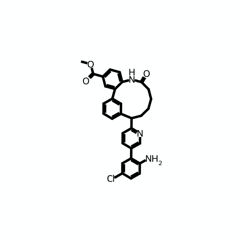 COC(=O)c1ccc2c(c1)-c1cccc(c1)C(c1ccc(-c3cc(Cl)ccc3N)cn1)CCCCC(=O)N2